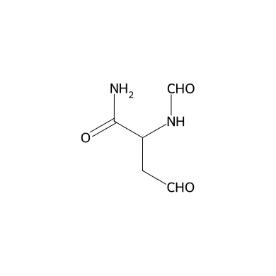 NC(=O)C(CC=O)NC=O